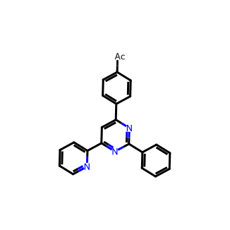 CC(=O)c1ccc(-c2cc(-c3ccccn3)nc(-c3ccccc3)n2)cc1